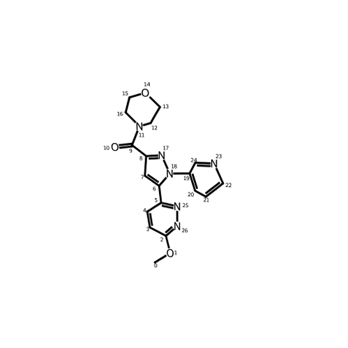 COc1ccc(-c2cc(C(=O)N3CCOCC3)nn2-c2cccnc2)nn1